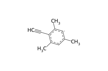 C#Cc1c(C)[c]c(C)cc1C